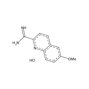 COc1ccc2nc(C(=N)N)ccc2c1.Cl